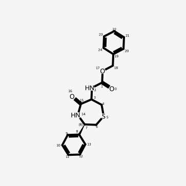 O=C(NC1CSC[C@@H](c2ccccc2)NC1=O)OCc1ccccc1